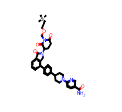 C[Si](C)(C)CCOCN1C(=O)CCC(N2Cc3c(cccc3-c3ccc(C4CCN(c5ccc(C(N)=O)cn5)CC4)cc3)C2=O)C1=O